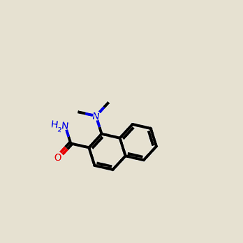 CN(C)c1c(C(N)=O)ccc2ccccc12